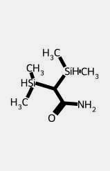 C[SiH](C)C(C(N)=O)[SiH](C)C